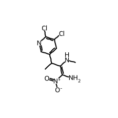 CNC(=C(N)[N+](=O)[O-])C(C)c1cnc(Cl)c(Cl)c1